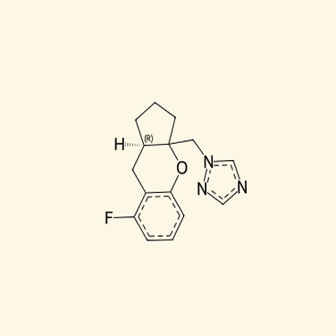 Fc1cccc2c1C[C@H]1CCCC1(Cn1cncn1)O2